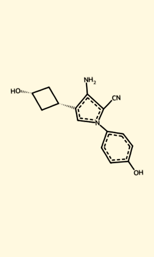 N#Cc1c(N)c([C@H]2C[C@@H](O)C2)cn1-c1ccc(O)cc1